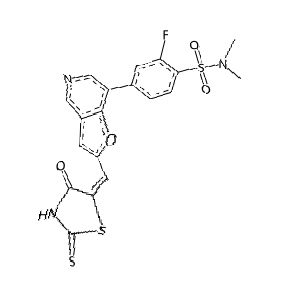 CN(C)S(=O)(=O)c1ccc(-c2cncc3cc(C=C4SC(=S)NC4=O)oc23)cc1F